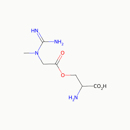 CN(CC(=O)OCC(N)C(=O)O)C(=N)N